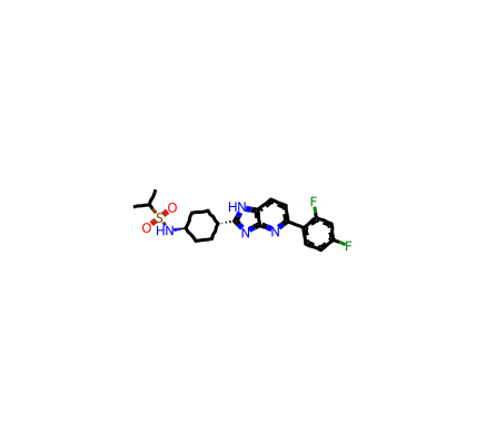 CC(C)S(=O)(=O)N[C@H]1CC[C@H](c2nc3nc(-c4ccc(F)cc4F)ccc3[nH]2)CC1